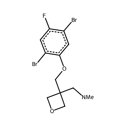 CNCC1(COc2cc(Br)c(F)cc2Br)COC1